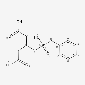 O=C(O)CC(CC(=O)O)CP(=O)(O)Cc1ccccc1